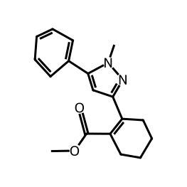 COC(=O)C1=C(c2cc(-c3ccccc3)n(C)n2)CCCC1